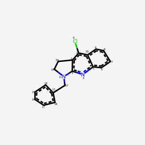 Clc1c2c(nc3ccccc13)N(Cc1ccccc1)CC2